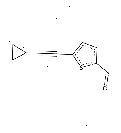 O=Cc1ccc(C#CC2CC2)s1